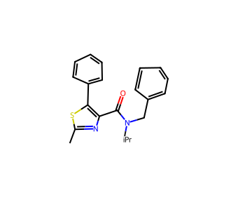 [CH2]C(C)N(Cc1ccccc1)C(=O)c1nc(C)sc1-c1ccccc1